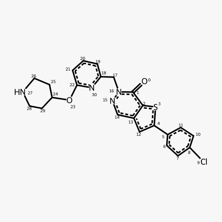 O=c1c2sc(-c3ccc(Cl)cc3)cc2cnn1Cc1cccc(OC2CCNCC2)n1